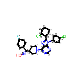 O/N=C(\c1ccc(F)cc1)C1CCN(c2ncnc3c2nc(-c2ccccc2Cl)n3-c2ccc(Cl)cc2)CC1